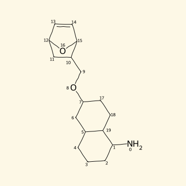 NC1CCCC2CC(OCC3CC4C=CC3O4)CCC12